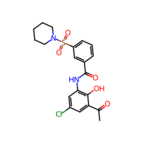 CC(=O)c1cc(Cl)cc(NC(=O)c2cccc(S(=O)(=O)N3CCCCC3)c2)c1O